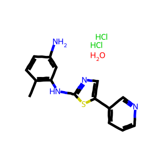 Cc1ccc(N)cc1Nc1ncc(-c2cccnc2)s1.Cl.Cl.O